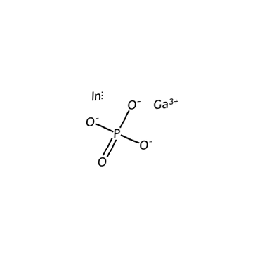 O=P([O-])([O-])[O-].[Ga+3].[In]